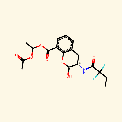 CCC(F)(F)C(=O)N[C@H]1Cc2cccc(C(=O)OC(C)OC(C)=O)c2OB1O